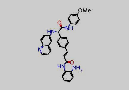 COc1ccc(NC(=O)C(Nc2ccc3ncccc3c2)c2ccc(C=CC(=O)Nc3ccccc3N)cc2)cc1